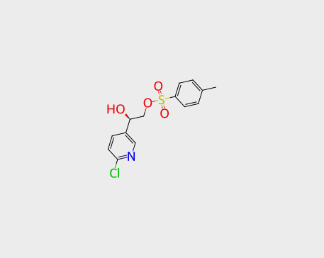 Cc1ccc(S(=O)(=O)OC[C@H](O)c2ccc(Cl)nc2)cc1